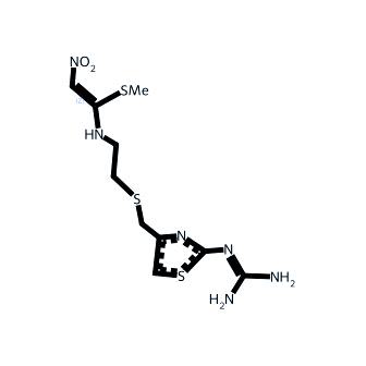 CS/C(=C\[N+](=O)[O-])NCCSCc1csc(N=C(N)N)n1